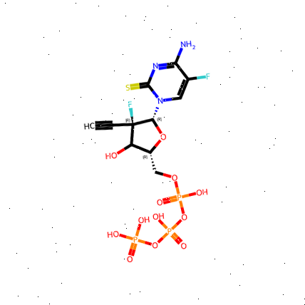 C#C[C@@]1(F)C(O)[C@@H](COP(=O)(O)OP(=O)(O)OP(=O)(O)O)O[C@H]1n1cc(F)c(N)nc1=S